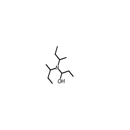 CCC(C)N(C(C)CC)C(O)CC